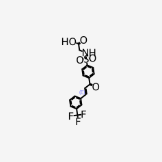 O=C(O)CNS(=O)(=O)c1ccc(C(=O)/C=C/c2cccc(C(F)(F)F)c2)cc1